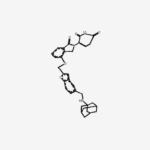 O=C1CCC(N2Cc3c(OCc4cc5cc(CNC67CC8CC(CC(C8)C6)C7)ccc5o4)cccc3C2=O)C(=O)N1